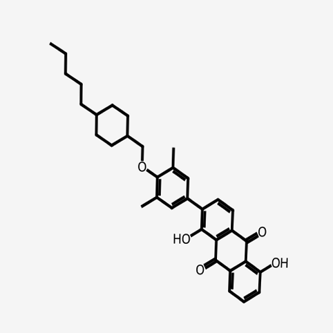 CCCCCC1CCC(COc2c(C)cc(-c3ccc4c(c3O)C(=O)c3cccc(O)c3C4=O)cc2C)CC1